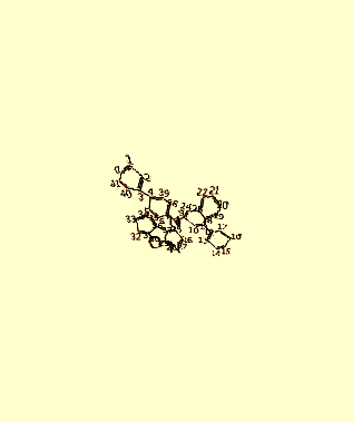 c1ccc(-c2ccc(N(c3cc(-c4ccccc4)c4ccccc4c3)c3ccnc4oc5ccccc5c34)cc2)cc1